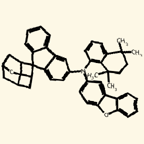 CC1(C)CCC(C)(C)c2c(N(c3ccc4c(c3)-c3ccccc3C43C4CC5CC6CC3C64C5)c3ccc4oc5ccccc5c4c3)cccc21